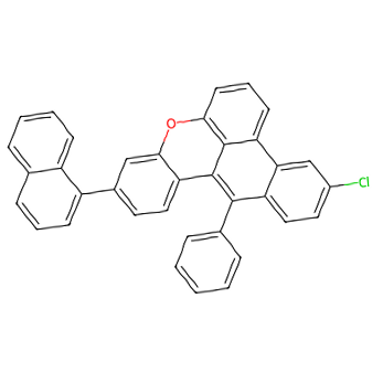 Clc1ccc2c(-c3ccccc3)c3c4c(cccc4c2c1)Oc1cc(-c2cccc4ccccc24)ccc1-3